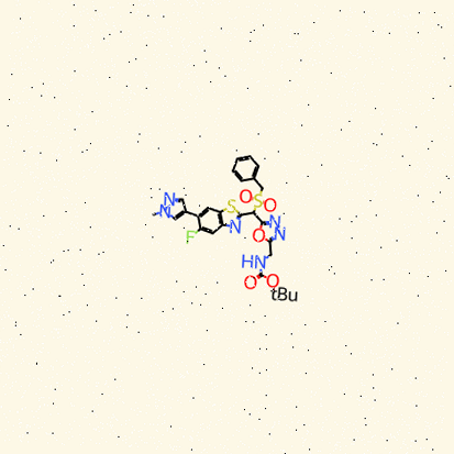 Cn1cc(-c2cc3sc(C(c4nnc(CNC(=O)OC(C)(C)C)o4)S(=O)(=O)Cc4ccccc4)nc3cc2F)cn1